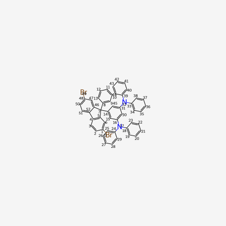 Brc1ccc2c(c1)C(c1ccccc1)(c1cc(N(c3ccccc3)c3ccccc3)cc(N(c3ccccc3)c3ccccc3)c1)c1cc(Br)ccc1-2